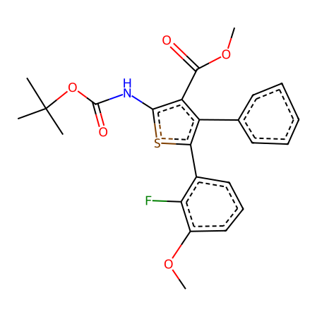 COC(=O)c1c(NC(=O)OC(C)(C)C)sc(-c2cccc(OC)c2F)c1-c1ccccc1